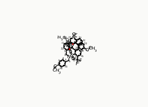 COc1ccc(CN(Cc2ccc(OC)cc2)S(=O)(=O)c2c(C(F)(F)F)ccc(-c3cccc4c3ccc[n+]4[O-])c2-c2nnnn2Cc2ccc(OC)cc2)cc1